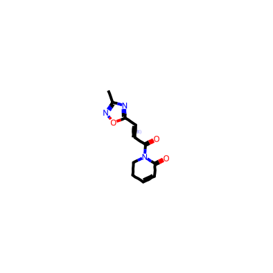 Cc1noc(/C=C/C(=O)N2CCC=CC2=O)n1